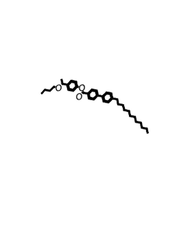 CCCCCCCCCCCCc1ccc(-c2ccc(C(=O)Oc3ccc(C(C)OCCCC)cc3)cc2)cc1